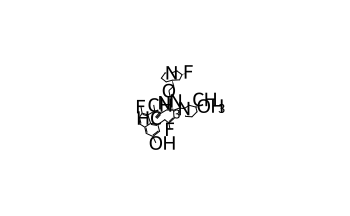 C#Cc1nc(OC[C@@]23CCCN2C[C@H](F)C3)nc(N2CCC[C@@](C)(O)C2)c1/C=C(/F)Cc1cc(O)cc2ccc(F)c(CC)c12